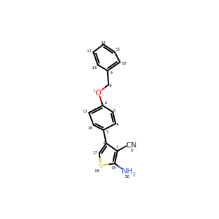 N#Cc1c(-c2ccc(OCc3ccccc3)cc2)csc1N